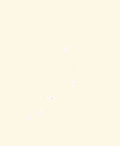 CS(=O)(=O)c1cc(Cc2ccc(CC(=O)NCc3cnc4[nH]cc(Cl)c4c3)cn2)cc2cc(F)cnc12